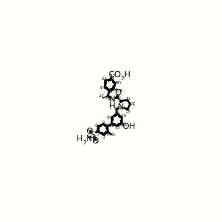 Cc1cc(S(N)(=O)=O)ccc1-c1cc(O)cc(CN2CCC[C@@H]2C(=O)N[C@@H](C)c2ccc(C(=O)O)cc2)c1